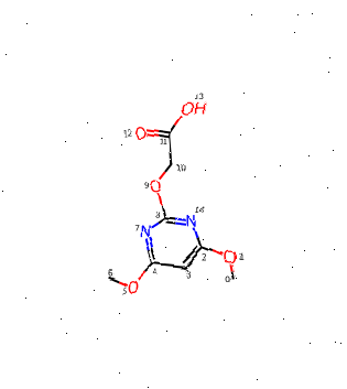 COc1cc(OC)nc(OCC(=O)O)n1